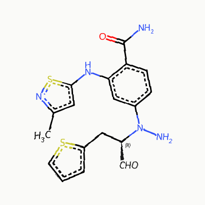 Cc1cc(Nc2cc(N(N)[C@@H](C=O)Cc3cccs3)ccc2C(N)=O)sn1